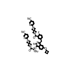 CC(C)(C)OC(=O)N1CC2(C1)CN(c1ccc(C#N)cn1)C2.N#Cc1ccc(N2CC3(CN(C(=O)c4cc(Cc5n[nH]c(=O)c6ccc(OC7CCC7)cc56)ccc4F)C3)C2)nc1